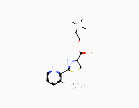 COc1cccnc1C1=NC(C(=O)OCC[Si](C)(C)C)CS1